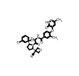 Cc1cc(Oc2ccc(C(=O)N[C@H](C)C(=O)N3[C@H](C4(C)C=C(Cl)C=CC4)CC[C@@H]3C3(C#N)COC3)cc2C)c(=O)[nH]n1